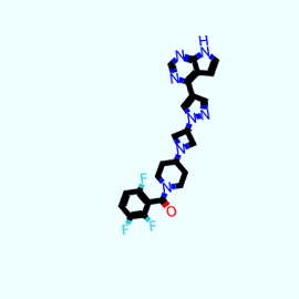 O=C(c1c(F)ccc(F)c1F)N1CCC(N2C[C](n3cc(-c4ncnc5[nH]ccc45)cn3)C2)CC1